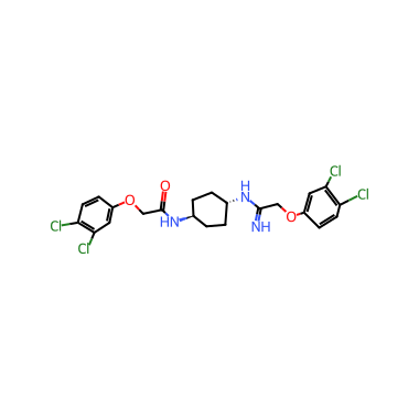 N=C(COc1ccc(Cl)c(Cl)c1)N[C@H]1CC[C@H](NC(=O)COc2ccc(Cl)c(Cl)c2)CC1